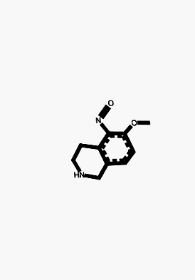 COc1ccc2c(c1N=O)CCNC2